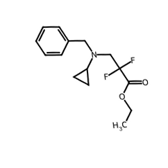 CCOC(=O)C(F)(F)CN(Cc1ccccc1)C1CC1